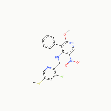 COc1ncc([N+](=O)[O-])c(NCc2ncc(SC)cc2F)c1-c1ccccc1